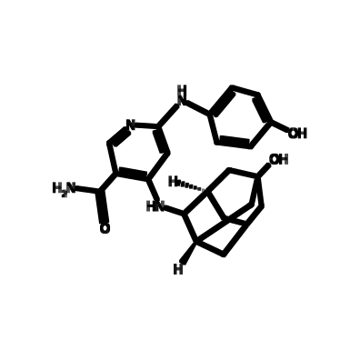 NC(=O)c1cnc(Nc2ccc(O)cc2)cc1NC1[C@@H]2CC3C[C@H]1CC(O)(C3)C2